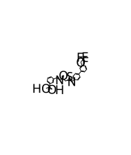 O=C(Cc1nc2ccc(-c3cccc(OC(F)(F)F)c3)cc2s1)NCc1cccc(C(=O)O)c1